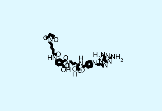 Nc1nc(N)c2nc(CNc3ccc(C(=O)N[C@@H](CCCNC(=O)c4cc(NC(=O)CCCCCN5C(=O)C=CC5=O)ccc4C(=O)O)C(=O)O)cc3)cnc2n1